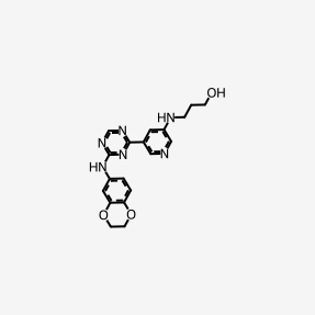 OCCCNc1cncc(-c2ncnc(Nc3ccc4c(c3)OCCO4)n2)c1